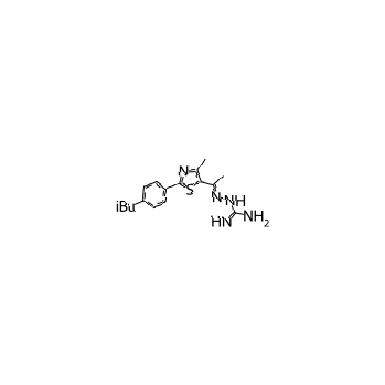 CCC(C)c1ccc(-c2nc(C)c(/C(C)=N/NC(=N)N)s2)cc1